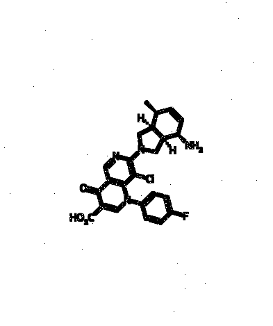 C[C@H]1C=C[C@@H](N)[C@H]2CN(c3ncc4c(=O)c(C(=O)O)cn(-c5ccc(F)cc5)c4c3Cl)C[C@H]21